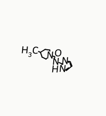 CC1CCN(C(=O)Nc2ncccn2)CC1